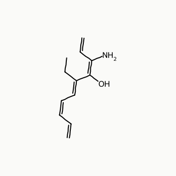 C=C\C=C/C=C(CC)/C(O)=C(/N)C=C